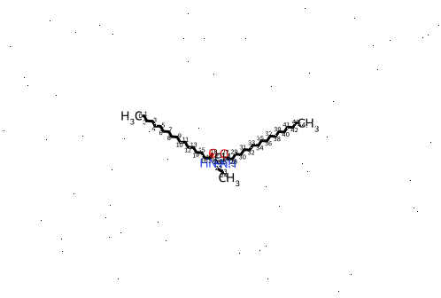 CCCCCCCCCCCCCCCCCC(=O)N[N+](C)(CCC)NC(=O)CCCCCCCCCCCCCCCCC